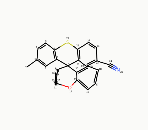 Cc1ccc2c(c1)C1(c3ccccc3Oc3ccccc31)c1cc(C#N)ccc1S2